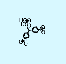 O=[N+]([O-])c1ccc(C(COP(=O)(O)O)c2ccc([N+](=O)[O-])cc2)cc1